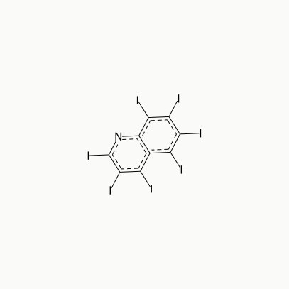 Ic1nc2c(I)c(I)c(I)c(I)c2c(I)c1I